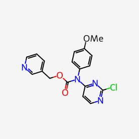 COc1ccc(N(C(=O)OCc2cccnc2)c2ccnc(Cl)n2)cc1